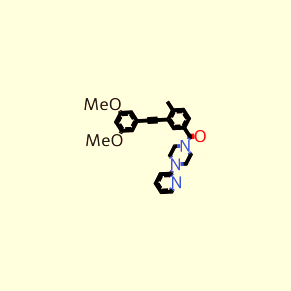 COc1cc(C#Cc2cc(C(=O)N3CCN(c4ccccn4)CC3)ccc2C)cc(OC)c1